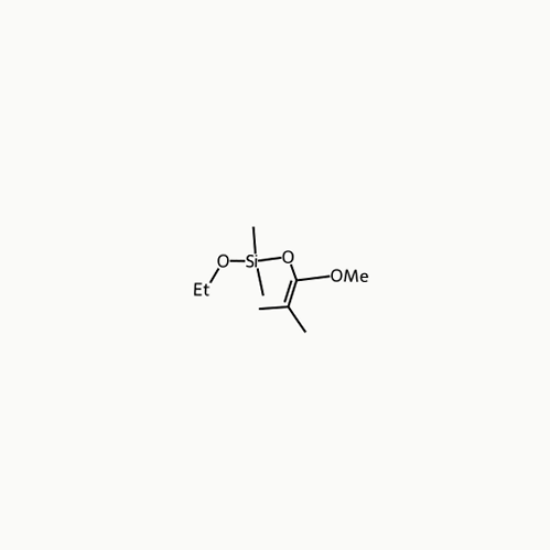 CCO[Si](C)(C)OC(OC)=C(C)C